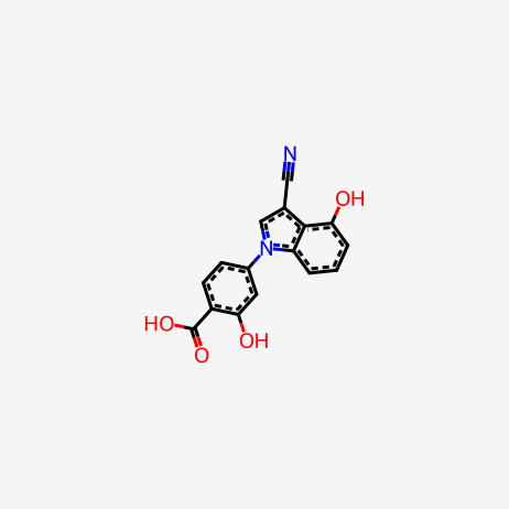 N#Cc1cn(-c2ccc(C(=O)O)c(O)c2)c2cccc(O)c12